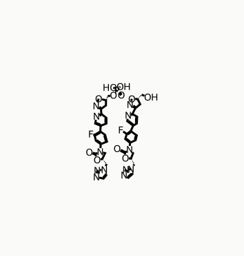 O=C1O[C@@H](Cn2ccnn2)CN1c1ccc(-c2ccc(C3=NO[C@H](CO)C3)nc2)c(F)c1.O=C1O[C@@H](Cn2ccnn2)CN1c1ccc(-c2ccc(C3=NO[C@H](COP(=O)(O)O)C3)nc2)c(F)c1